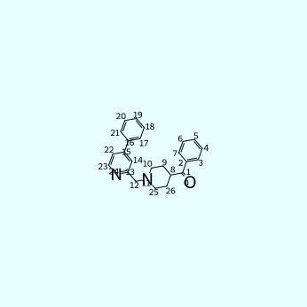 O=C(c1ccccc1)C1CCN(Cc2cc(-c3ccccc3)ccn2)CC1